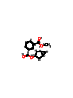 COC(=O)c1ccccc1.O=COC1CC2CC2C1